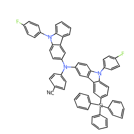 N#Cc1ccc(N(c2ccc3c(c2)c2ccccc2n3-c2ccc(F)cc2)c2ccc3c(c2)c2cc([Si](c4ccccc4)(c4ccccc4)c4ccccc4)ccc2n3-c2ccc(F)cc2)cc1